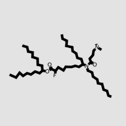 CCCCCCCCCCN(C(=O)CCCN(C)C)C(CCCCCCCCC)CCCCCCC(F)C(=O)OC(CCCCCCCC)CCCCCCCC